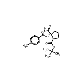 Cc1ccc(C(=O)C[C@]2(C(=O)O)CCCN2C(=O)OC(C)(C)C)cc1